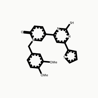 COc1ccc(Cn2cc(-c3cc(-c4cccs4)nc(S)n3)ccc2=O)cc1OC